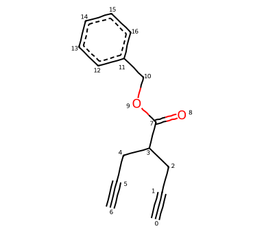 C#CCC(CC#C)C(=O)OCc1ccccc1